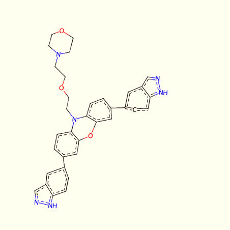 c1cc2c(cc1-c1ccc3[nH]ncc3c1)Oc1cc(-c3ccc4[nH]ncc4c3)ccc1N2CCOCCN1CCOCC1